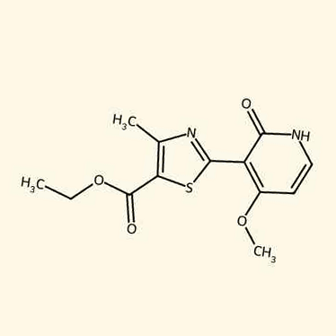 CCOC(=O)c1sc(-c2c(OC)cc[nH]c2=O)nc1C